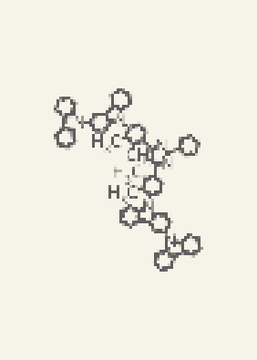 Cc1c(-c2nc(-c3ccccc3)nc(-c3ccc(-n4c5ccccc5c5cc(-n6c7ccccc7c7ccccc76)ccc54)c(C)c3C)n2)ccc(-n2c3ccccc3c3cc(-n4c5ccccc5c5ccccc54)ccc32)c1C